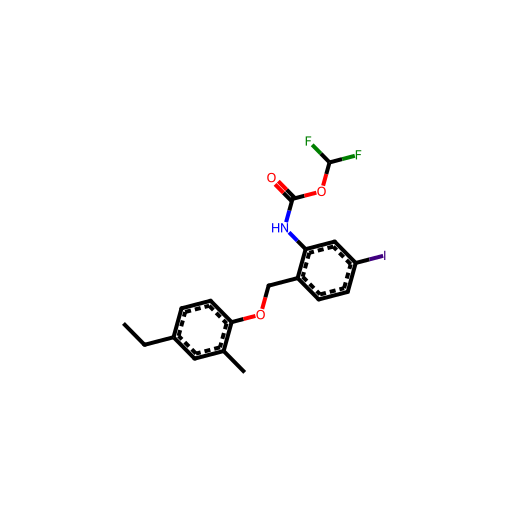 CCc1ccc(OCc2ccc(I)cc2NC(=O)OC(F)F)c(C)c1